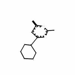 Cc1nc(C2CCCCC2)cc(=O)[nH]1